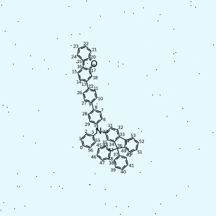 c1ccc(N(c2ccc(-c3ccc(-c4ccc5c(c4)oc4ccccc45)cc3)cc2)c2ccc3c(c2)C(c2ccccc2)(c2ccccc2)c2ccccc2-3)cc1